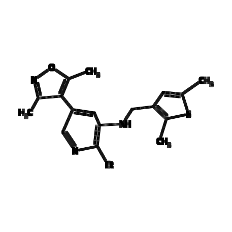 CCc1ncc(-c2c(C)noc2C)cc1NCc1cc(C)sc1C